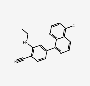 CCNc1cc(-c2nccc3c(Cl)ccnc23)ccc1C#N